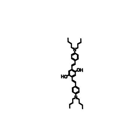 CCCCN(CCCC)c1ccc(/C=C/c2cc(O)c(/C=C/c3ccc(N(CCCC)CCCC)cc3)cc2O)cc1